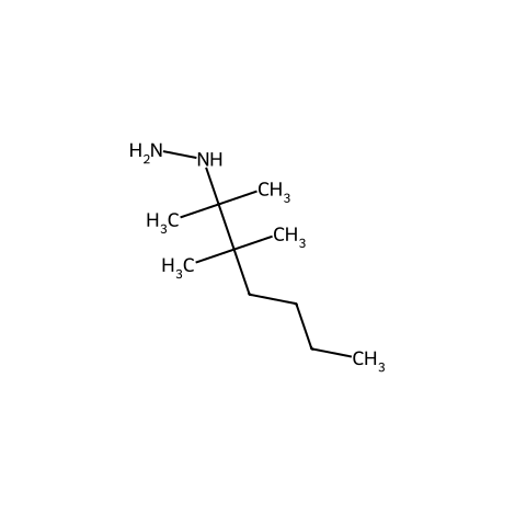 CCCCC(C)(C)C(C)(C)NN